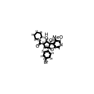 COc1cncc2c1[C@]1(O)[C@H](O)[C@H](C(=O)N3CCCCC3)[C@@H](C)[C@]1(c1ccc(Br)cc1)O2